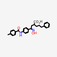 Cc1ccc(C(=O)Nc2ccc(/C(CC(CCCc3ccccc3)C(=O)O)=N\O)cc2)cc1